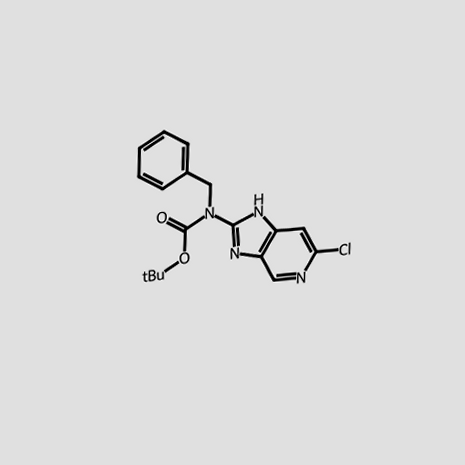 CC(C)(C)OC(=O)N(Cc1ccccc1)c1nc2cnc(Cl)cc2[nH]1